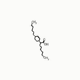 CCCCCCC1C=CC(C(CCCCCC)C(=O)O)CC1